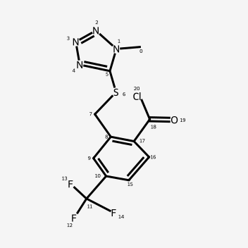 Cn1nnnc1SCc1cc(C(F)(F)F)ccc1C(=O)Cl